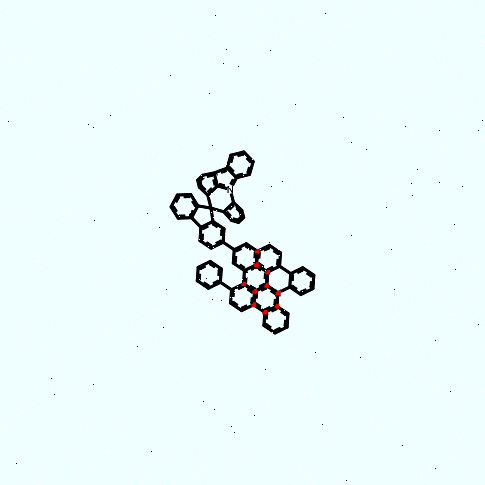 c1ccc(-c2ccc(-c3ccccc3N(c3ccc4cc(-c5ccc6c(c5)C5(c7ccccc7-6)c6ccccc6-n6c7ccccc7c7cccc5c76)ccc4c3)c3ccccc3-c3ccccc3-c3ccccc3)cc2)cc1